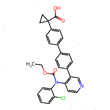 CCOC(=O)N(c1ccccc1Cl)c1ccncc1-c1ccc(-c2ccc(C3(C(=O)O)CC3)cc2)cc1